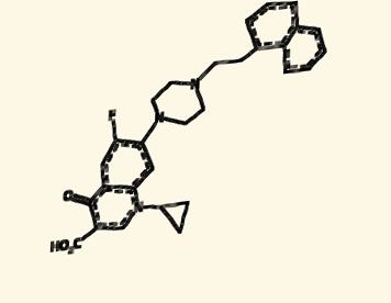 O=C(O)c1cn(C2CC2)c2cc(N3CCN(CCc4cccc5ccccc45)CC3)c(F)cc2c1=O